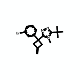 C=C1CC(c2cccc(Br)c2)(c2nnc(C(C)(C)C)n2C)C1